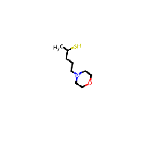 CC(S)CCCN1CCOCC1